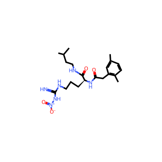 Cc1ccc(C)c(CC(=O)N[C@@H](CCCNC(=N)N[N+](=O)[O-])C(=O)NCCC(C)C)c1